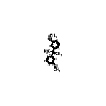 COc1cccc(C(C)(C)c2cccc(OC)c2)c1